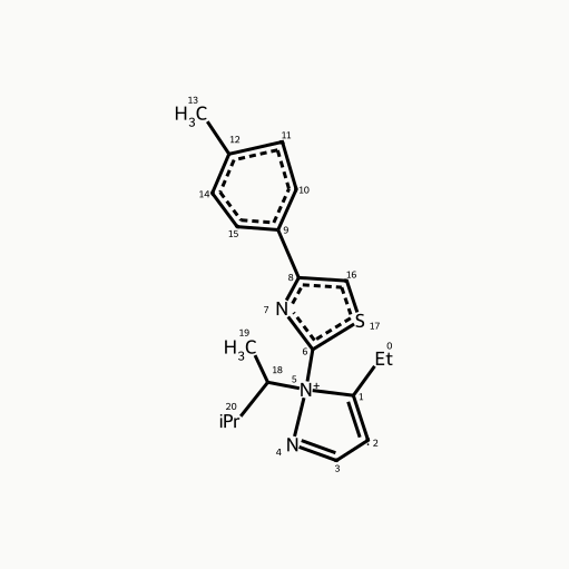 CCC1=[C]C=N[N+]1(c1nc(-c2ccc(C)cc2)cs1)C(C)C(C)C